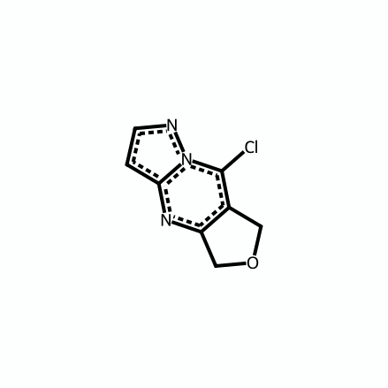 Clc1c2c(nc3ccnn13)COC2